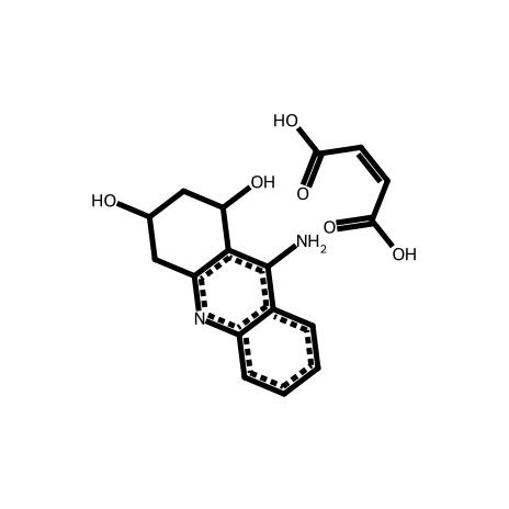 Nc1c2c(nc3ccccc13)CC(O)CC2O.O=C(O)/C=C\C(=O)O